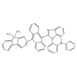 CC1(C)c2ccccc2-c2ccc(-c3c4ccccc4c(-c4nc5cccc6c5n4-c4ccccc4N6c4ccccc4)c4ccccc34)cc21